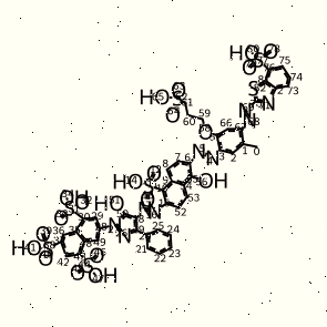 Cc1cc(N=Nc2ccc3c(S(=O)(=O)O)c(N=Nc4c(-c5ccccc5)nn(-c5cc(S(=O)(=O)O)c6cc(S(=O)(=O)O)cc(S(=O)(=O)O)c6c5)c4O)ccc3c2O)c(OCCCS(=O)(=O)O)cc1N=Nc1nc2cccc(S(=O)(=O)O)c2s1